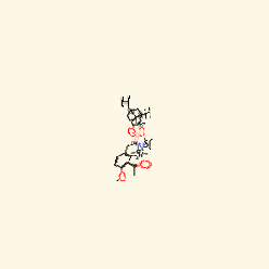 COc1ccc(C[C@@H](B2OC3C[C@@H]4C[C@@H](C4(C)C)[C@]3(C)O2)N([Si](C)(C)C)[Si](C)(C)C)c(C)c1C(C)=O